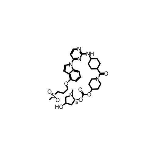 CN1CC(O)C[C@@H]1OC(=O)OC1CCN(C(=O)C2CCC(Nc3nccc(-n4ccc5c(OCCCS(C)(=O)=O)cccc54)n3)CC2)CC1